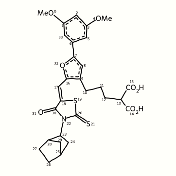 COc1cc(OC)cc(-c2cc(CCCC(C(=O)O)C(=O)O)c(C=C3SC(=S)N(C4CC5CCC4C5)C3=O)o2)c1